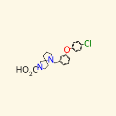 O=C(O)N1CCC2(CCCN2Cc2cccc(Oc3ccc(Cl)cc3)c2)C1